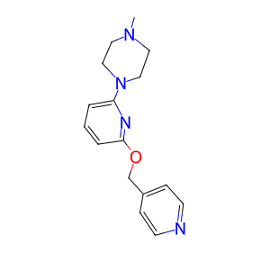 CN1CCN(c2cccc(OCc3ccncc3)n2)CC1